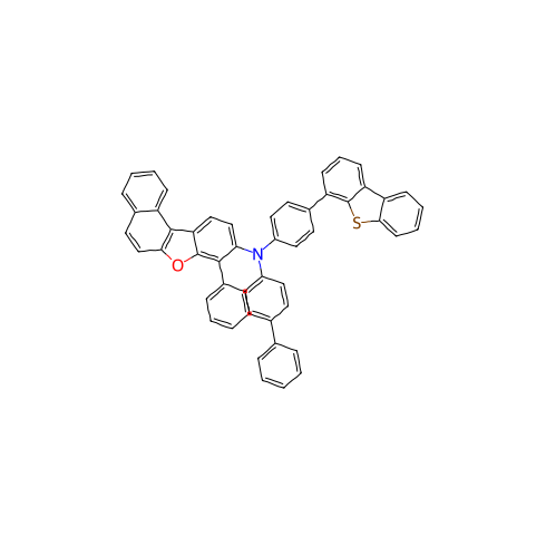 c1ccc(-c2ccc(N(c3ccc(-c4cccc5c4sc4ccccc45)cc3)c3ccc4c(oc5ccc6ccccc6c54)c3-c3ccccc3)cc2)cc1